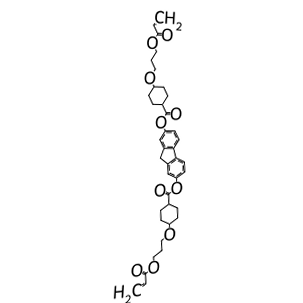 C=CC(=O)OCCCOC1CCC(C(=O)Oc2ccc3c(c2)Cc2cc(OC(=O)C4CCC(OCCCOC(=O)C=C)CC4)ccc2-3)CC1